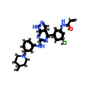 C=CC(=O)Nc1cc(Cl)cc(-c2nc(Nc3cccc(N4CCC(C)CC4)c3)nc3[nH]ncc23)c1